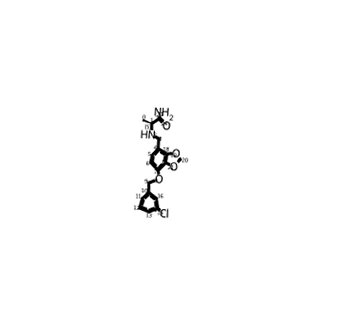 C[C@H](NCc1ccc(OCc2cccc(Cl)c2)c2c1OCO2)C(N)=O